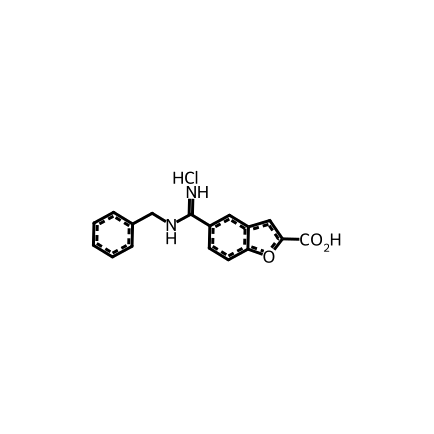 Cl.N=C(NCc1ccccc1)c1ccc2oc(C(=O)O)cc2c1